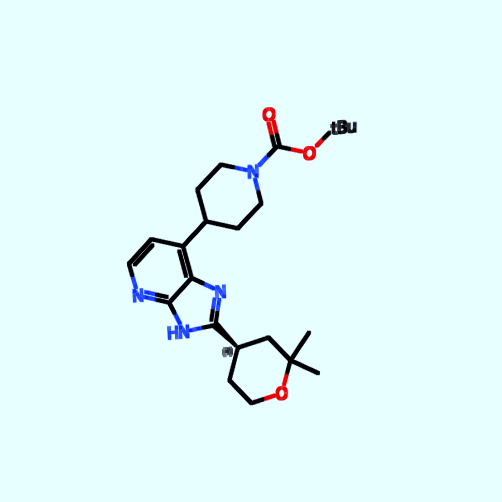 CC(C)(C)OC(=O)N1CCC(c2ccnc3[nH]c([C@@H]4CCOC(C)(C)C4)nc23)CC1